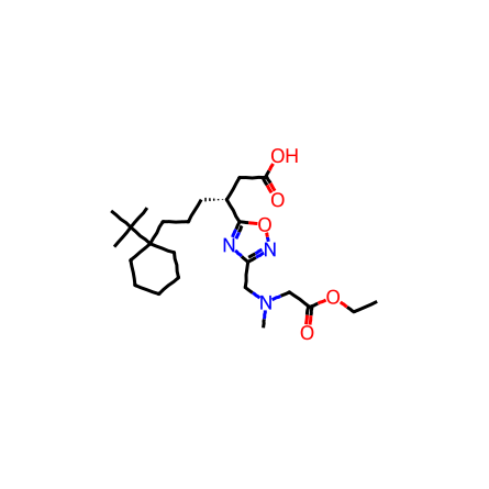 CCOC(=O)CN(C)Cc1noc([C@H](CCCC2(C(C)(C)C)CCCCC2)CC(=O)O)n1